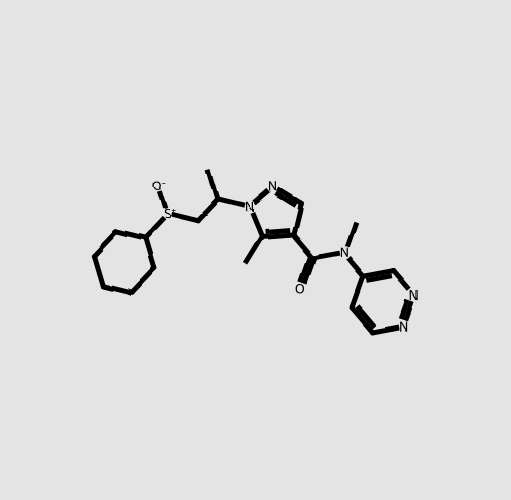 Cc1c(C(=O)N(C)c2ccnnc2)cnn1C(C)C[S+]([O-])C1CCCCC1